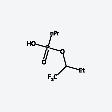 CCCP(=O)(O)OC(CC)C(F)(F)F